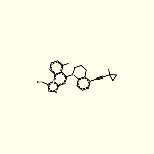 Nc1nnc2nc(N3CCCc4c(C#CC5(C(F)(F)F)CC5)cccc43)c3c(F)cccc3n12